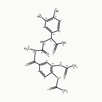 CC(=O)Oc1ccc(C(=O)N(C)C(=O)NC(C(=O)O)c2ccc(O)c(O)c2)cc1OC(C)=O